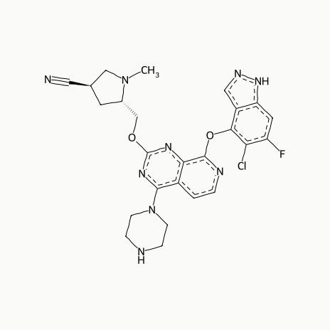 CN1C[C@H](C#N)C[C@H]1COc1nc(N2CCNCC2)c2ccnc(Oc3c(Cl)c(F)cc4[nH]ncc34)c2n1